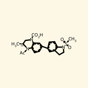 CC(=O)N1c2ccc(-c3ccc4c(c3)CCN4S(C)(=O)=O)cc2N(C(=O)O)C[C@@H]1C